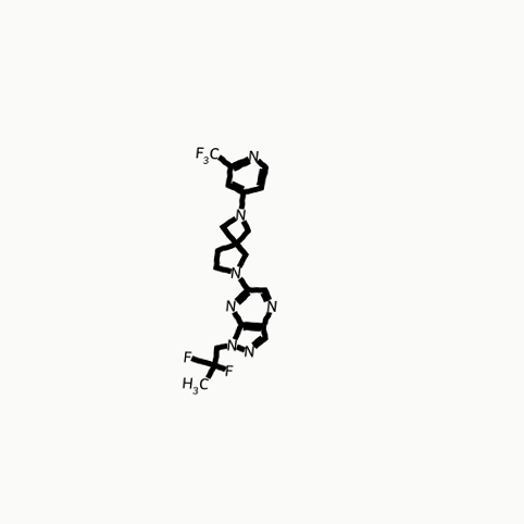 CC(F)(F)Cn1ncc2ncc(N3CCC4(CN(c5ccnc(C(F)(F)F)c5)C4)C3)nc21